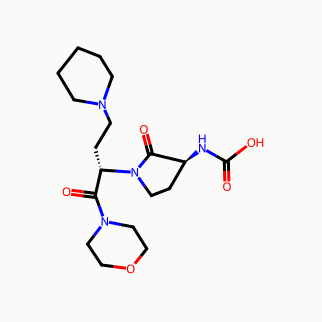 O=C(O)N[C@H]1CCN([C@@H](CCN2CCCCC2)C(=O)N2CCOCC2)C1=O